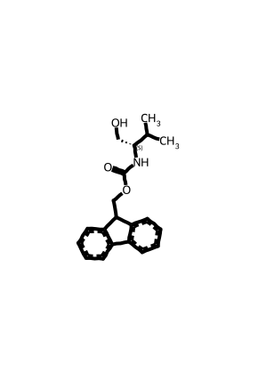 CC(C)[C@@H](CO)NC(=O)OCC1c2ccccc2-c2ccccc21